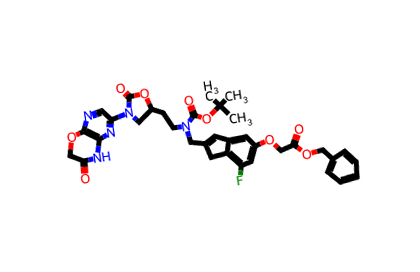 CC(C)(C)OC(=O)N(CCC1CN(c2cnc3c(n2)NC(=O)CO3)C(=O)O1)CC1=Cc2cc(OCC(=O)OCc3ccccc3)cc(F)c2C1